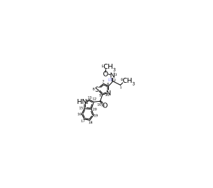 CC/C(=N/OC)c1csc(C(=O)c2c[nH]c3ccccc23)n1